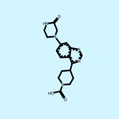 O=C1CN(c2ccc3c(C4CCN(C(=O)O)CC4)ncnc3c2)CCN1